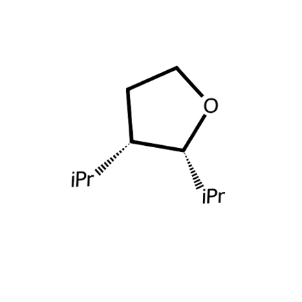 CC(C)[C@H]1OCC[C@H]1C(C)C